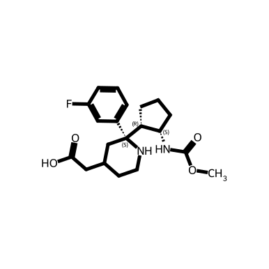 COC(=O)N[C@H]1CCC[C@H]1[C@]1(c2cccc(F)c2)CC(CC(=O)O)CCN1